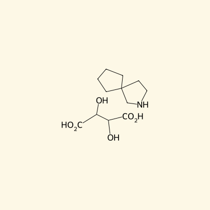 C1CCC2(C1)CCNC2.O=C(O)C(O)C(O)C(=O)O